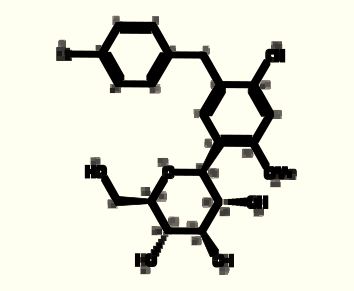 CCc1ccc(Cc2cc([C@@H]3O[C@H](CO)[C@@H](O)[C@H](O)[C@H]3O)c(OC)cc2C#N)cc1